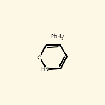 C1=CNOC=C1.[PbH2]